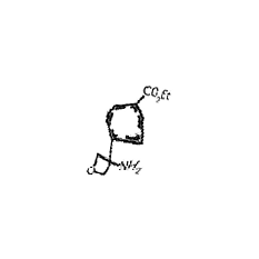 CCOC(=O)c1ccc(C2(N)COC2)cc1